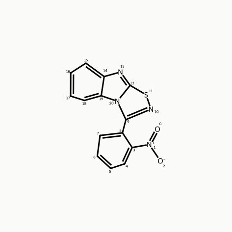 O=[N+]([O-])c1ccccc1-c1nsc2nc3ccccc3n12